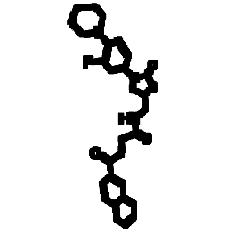 O=C(CCC(=O)c1ccc2ccccc2c1)NCC1CN(c2ccc(N3CCCCC3)c(F)c2)C(=O)O1